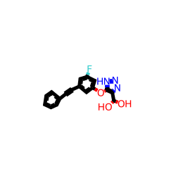 OC(O)c1nn[nH]c1Oc1cc(F)cc(C#Cc2ccccc2)c1